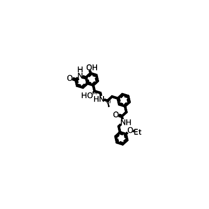 CCOc1ccccc1CNC(=O)Cc1cccc(C[C@@H](C)NC[C@@H](O)c2ccc(O)c3[nH]c(=O)ccc23)c1